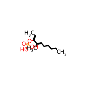 CC=C(OP(=O)(O)O)C(C)=CCCCCC